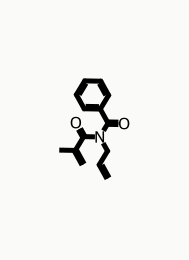 C=CCN(C(=O)C(=C)C)C(=O)c1ccccc1